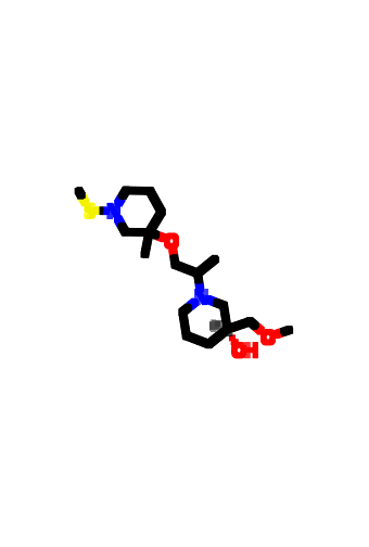 COC[C@@]1(O)CCCN(C(C)COC2(C)CCCN(SC)C2)C1